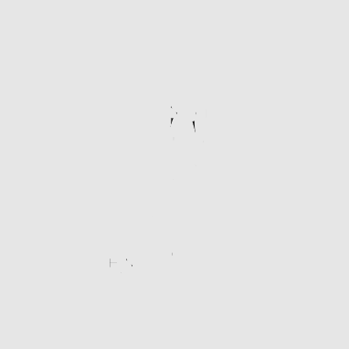 CC12CCCC[C@@]1(O)[C@H]([N+](C)(C)C)Cc1ccc(C(N)=O)cc12